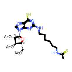 CC(=O)OC[C@H]1O[C@@H](n2cnc3c(S)nc(NCCCCCCNC(C)=S)nc32)[C@@H](OC(C)=O)C1OC(C)=O